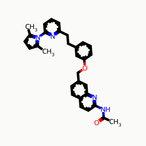 CC(=O)Nc1ccc2ccc(COc3cccc(CCc4cccc(-n5c(C)ccc5C)n4)c3)cc2n1